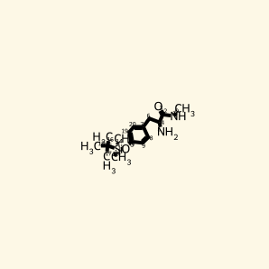 CNC(=O)C(N)Cc1ccc(O[Si](C)(C)C(C)(C)C)cc1